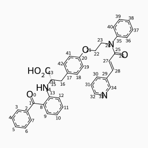 O=C(c1ccccc1)c1ccccc1N[C@@H](Cc1ccc(OCCN(C(=O)C=Cc2cccnc2)c2ccccc2)cc1)C(=O)O